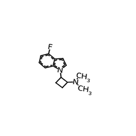 CN(C)C1CCC1n1ccc2c(F)cccc21